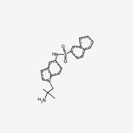 CC(C)(N)Cn1ccc2cc(NS(=O)(=O)c3ccc4ccccc4c3)ccc21